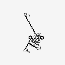 C#CC#CC#CC(CCCCCC)COc1ccccc1NC(=O)C(C1=Nc2ccccc2S(=O)(=O)N1CCCCCCCCCCCCCCCCCC)N1C(=O)OC(C)(C)C1=O